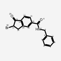 O=C(NCc1ccccc1)c1ccc2c(c1)CC(Br)C2=O